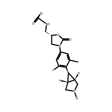 CCC(=O)NC[C@H]1CN(c2cc(F)c([C@H]3[C@@H]4C[S+]([O-])C[C@@H]43)c(F)c2)C(=O)O1